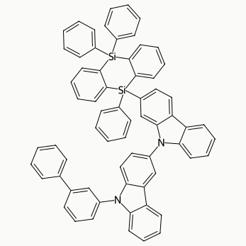 c1ccc(-c2cccc(-n3c4ccccc4c4cc(-n5c6ccccc6c6ccc([Si]7(c8ccccc8)c8ccccc8[Si](c8ccccc8)(c8ccccc8)c8ccccc87)cc65)ccc43)c2)cc1